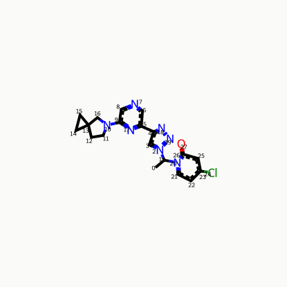 CC(n1cc(-c2cncc(N3CCC4(CC4)C3)n2)nn1)n1ccc(Cl)cc1=O